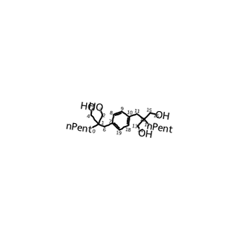 CCCCCC(CO)(CO)Cc1ccc(CC(CO)(CO)CCCCC)cc1